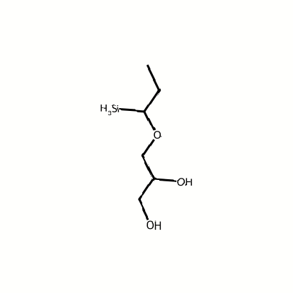 CCC([SiH3])OCC(O)CO